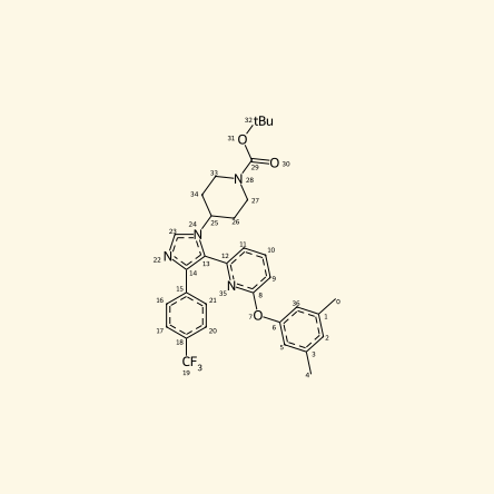 Cc1cc(C)cc(Oc2cccc(-c3c(-c4ccc(C(F)(F)F)cc4)ncn3C3CCN(C(=O)OC(C)(C)C)CC3)n2)c1